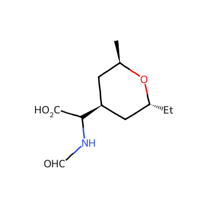 CC[C@@H]1C[C@@H](C(NC=O)C(=O)O)C[C@@H](C)O1